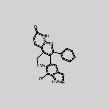 CNCc1c(-c2cc(Cl)c3[nH]ncc3c2)c(-c2ccccc2)nc2[nH]c(=O)ccc12